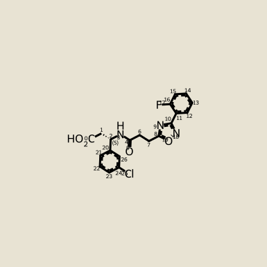 O=C(O)C[C@H](NC(=O)CCc1nc(-c2ccccc2F)no1)c1cccc(Cl)c1